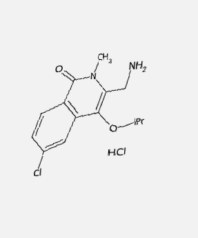 CC(C)Oc1c(CN)n(C)c(=O)c2ccc(Cl)cc12.Cl